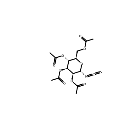 CC(=O)OC[C@H]1O[C@H](N=C=S)[C@@H](OC(C)=O)[C@@H](OC(C)=O)[C@@H]1OC(C)=O